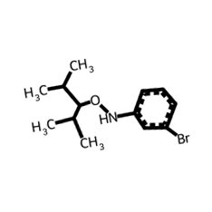 CC(C)C(ONc1cccc(Br)c1)C(C)C